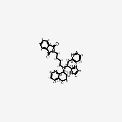 O=C1c2ccccc2C(=O)N1CCCCN(C(Cc1ccccn1)c1ncc[nH]1)C1CCCc2cccnc21